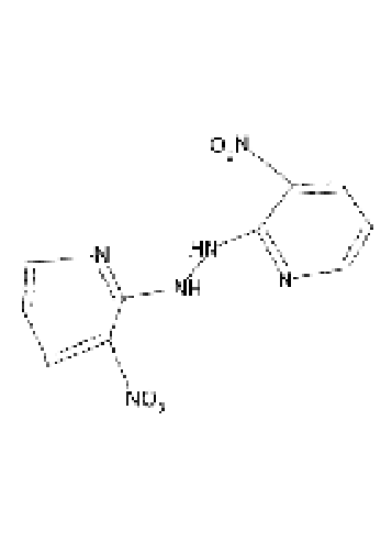 O=[N+]([O-])c1cccnc1NNc1ncccc1[N+](=O)[O-]